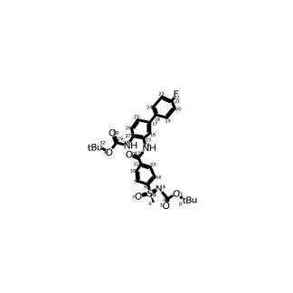 CC(C)(C)OC(=O)N=[S@](C)(=O)c1ccc(C(=O)Nc2cc(-c3ccc(F)cc3)ccc2NC(=O)OC(C)(C)C)cc1